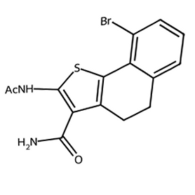 CC(=O)Nc1sc2c(c1C(N)=O)CCc1cccc(Br)c1-2